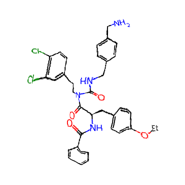 CCOc1ccc(C[C@@H](NC(=O)c2ccccc2)C(=O)N(CCc2ccc(Cl)c(Cl)c2)C(=O)NCc2ccc(CN)cc2)cc1